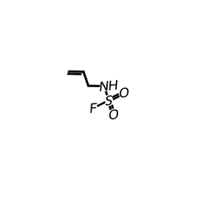 C=CCNS(=O)(=O)F